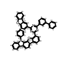 c1ccc(-c2cccc(-c3nc(-c4ccc5oc6ccccc6c5c4)nc(-c4cccc5c4oc4c5ccc5c6ccccc6n(-c6ccccc6)c54)n3)c2)cc1